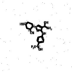 N#C[C@H]1C[C@H](O)CC[C@@H]1n1cc(C(N)O)c(Nc2ccc([C@H](O)C(F)(F)F)cc2)n1